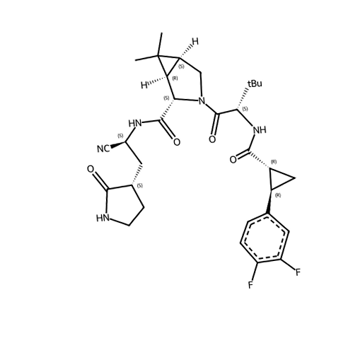 CC(C)(C)[C@H](NC(=O)[C@@H]1C[C@H]1c1ccc(F)c(F)c1)C(=O)N1C[C@H]2[C@@H]([C@H]1C(=O)N[C@H](C#N)C[C@@H]1CCNC1=O)C2(C)C